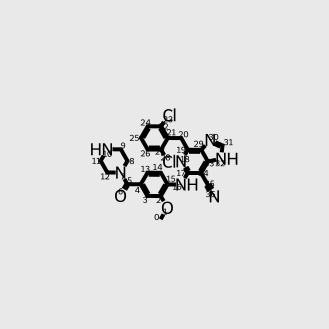 COc1cc(C(=O)N2CCNCC2)ccc1Nc1nc(Cc2c(Cl)cccc2Cl)c2nc[nH]c2c1C#N